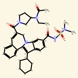 CCN(C(C)=O)C1CCN(C(=O)C2=Cc3ccccc3-c3c(C4CCCCC4)c4ccc(C(=O)NS(=O)(=O)N(C)C)cc4n3C2)C1